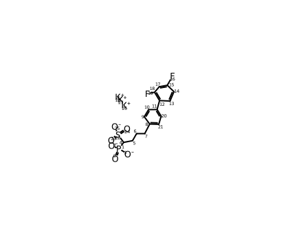 O=P([O-])([O-])C(CCCc1ccc(-c2ccc(F)cc2F)cc1)S(=O)(=O)[O-].[K+].[K+].[K+]